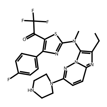 CCc1nc2ccc(N3CCNCC3)nn2c1N(C)c1nc(-c2ccc(F)cc2)c(C(=O)C(F)(F)F)s1